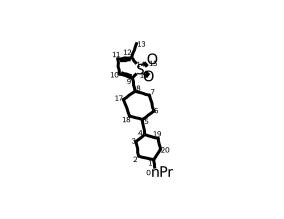 CCCC1CCC(C2CCC(C3=CC=C(C)S3(=O)=O)CC2)CC1